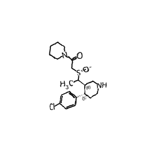 CC([C@H]1CNCC[C@@H]1c1ccc(Cl)cc1)[S+]([O-])CC(=O)N1CCCCC1